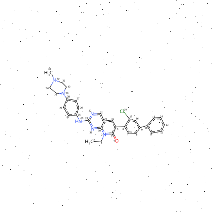 CCn1c(=O)c(-c2ccc(-c3ccccc3)cc2Cl)cc2cnc(Nc3ccc(N4CCN(C)CC4)cc3)nc21